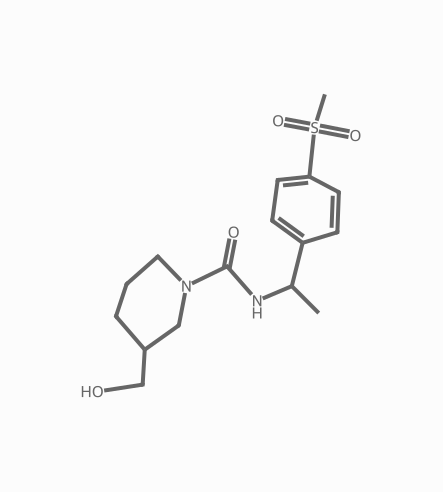 CC(NC(=O)N1CCCC(CO)C1)c1ccc(S(C)(=O)=O)cc1